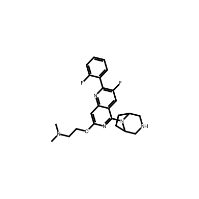 CN(C)CCOc1cc2nc(-c3ccccc3F)c(F)cc2c(N2C3CCC2CNC3)n1